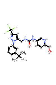 CC(C)(C)c1cccc(-n2nc(C(F)(F)F)cc2CNC(=O)Nc2ccc(CO)nc2)c1